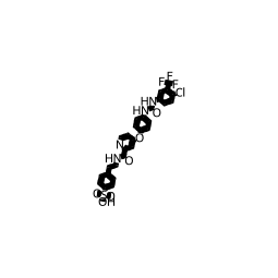 O=C(Nc1ccc(Oc2ccnc(C(=O)NCCc3ccc(S(=O)(=O)O)cc3)c2)cc1)Nc1ccc(Cl)c(C(F)(F)F)c1